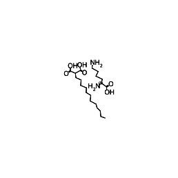 CCCCCCCCCCCCC(C(=O)O)C(=O)O.NCCCC[C@H](N)C(=O)O